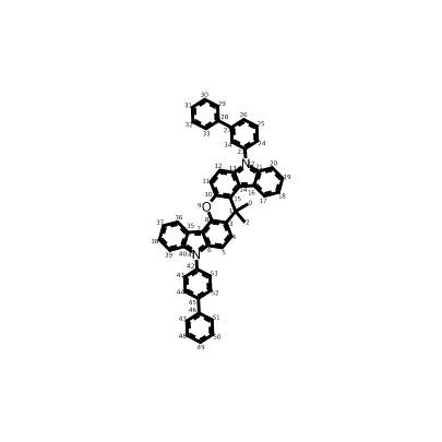 CC1(C)c2ccc3c(c2Oc2ccc4c(c21)c1ccccc1n4-c1cccc(-c2ccccc2)c1)c1ccccc1n3-c1ccc(-c2ccccc2)cc1